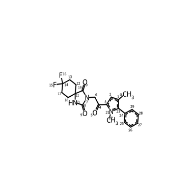 Cc1cc(C(=O)CN2C(=O)NC3(CCC(F)(F)CC3)C2=O)n(C)c1-c1ccccc1